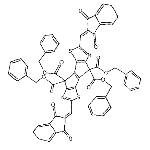 O=C1C(=Cc2nc3c(s2)C2=C(c4sc(C=C5C(=O)C6=CCCC=C6C5=O)nc4C2(C(=O)OCc2ccccc2)C(=O)OCc2ccccc2)C3(C(=O)OCc2ccccc2)C(=O)OCc2ccccc2)C(=O)C2=CCCC=C12